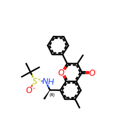 Cc1cc([C@@H](C)N[S+]([O-])C(C)(C)C)c2oc(-c3ccccc3)c(C)c(=O)c2c1